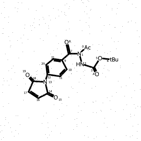 CC(=O)N(NC(=O)OC(C)(C)C)C(=O)c1ccc(N2C(=O)C=CC2=O)cc1